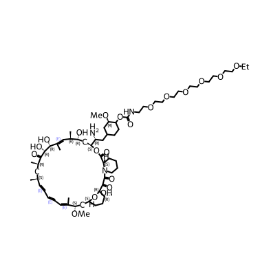 CCOCCOCCOCCOCCOCCOCCNC(=O)OC1CCC(C[C@@H](N)[C@@H]2C[C@@H](O)[C@H](C)/C=C(\C)[C@@H](O)[C@@H](O)C(=O)[C@H](C)C[C@H](C)/C=C/C=C/C=C(\C)[C@@H](OC)C[C@@H]3CC[C@@H](C)[C@@](O)(O3)C(=O)C(=O)N3CCCC[C@H]3C(=O)O2)C[C@H]1OC